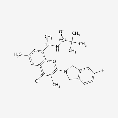 Cc1cc([C@H](C)N[S@@+]([O-])C(C)(C)C)c2oc(N3Cc4ccc(F)cc4C3)c(C)c(=O)c2c1